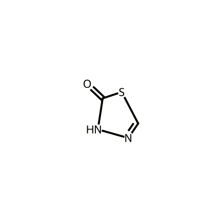 O=c1[nH]ncs1